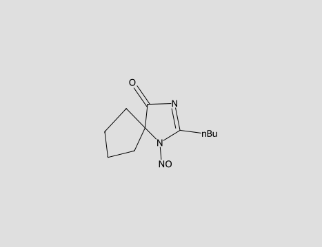 CCCCC1=NC(=O)C2(CCCC2)N1N=O